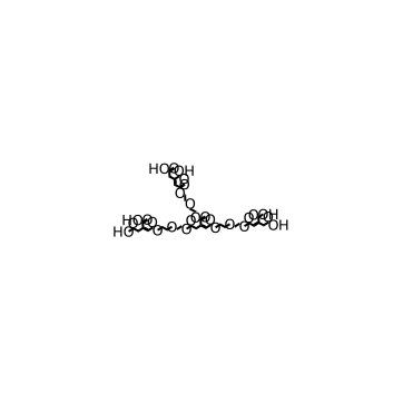 O=C(O)C/C(=C/C(=O)OCCOCCOC(=O)/C=C(/CC(=O)OCCOCCOC(=O)/C=C(/CC(=O)O)C(=O)O)C(=O)OCCOCCOC(=O)/C=C(/CC(=O)O)C(=O)O)C(=O)O